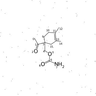 CC(=O)C1(COC(N)=O)CCC(C)=C(C)C1